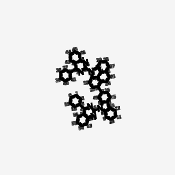 c1ccc(-c2nc(-n3c4ccccc4c4ccc(-c5ccc6c7c5ccc5cccc(c57)n6-c5nc(-c6ccccc6)c6ccccc6n5)cc43)nc3ccccc23)cc1